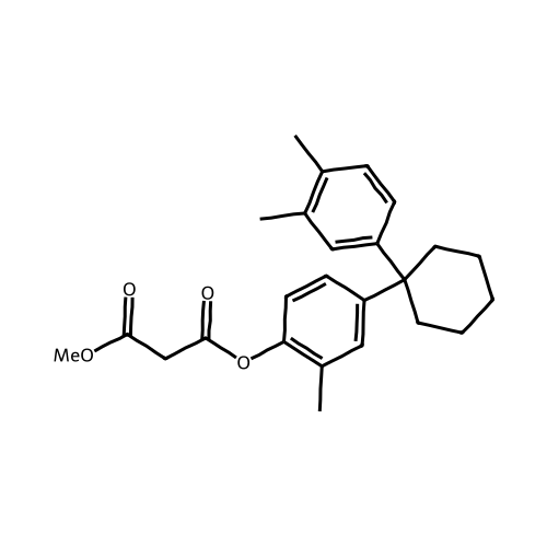 COC(=O)CC(=O)Oc1ccc(C2(c3ccc(C)c(C)c3)CCCCC2)cc1C